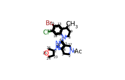 CC(=O)N1CCc2c(c(N3CCC(C)c4cc(Br)c(Cl)cc43)nn2[C@H]2CCOC2)C1